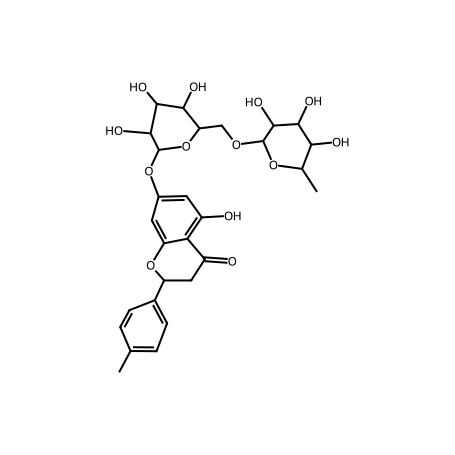 Cc1ccc(C2CC(=O)c3c(O)cc(OC4OC(COC5OC(C)C(O)C(O)C5O)C(O)C(O)C4O)cc3O2)cc1